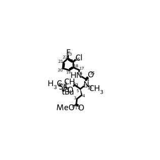 COC(=O)CC[C@@H](CO[Si](C)(C)C(C)(C)C)N(C)C(=O)NCc1cccc(F)c1Cl